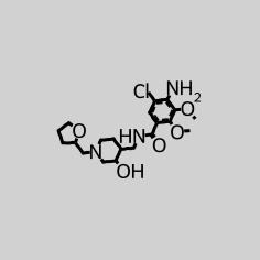 COc1c(C(=O)NCC2CCN(CC3CCCO3)CC2O)cc(Cl)c(N)c1OC